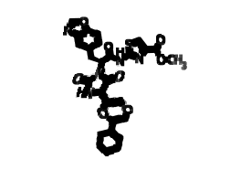 COC(=O)c1csc(NC(=O)[C@H](Cc2ccc3ocnc3c2)N2C(=O)NC(C3=COC=C(C4=CC=CCC4)O3)C2=O)n1